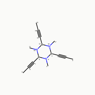 CC#CB1N(C)B(C#CC)N(C)B(C#CC)N1C